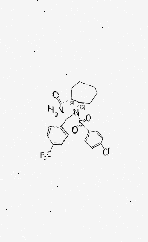 NC(=O)[C@@H]1CCCCC[C@@H]1N(Cc1ccc(C(F)(F)F)cc1)S(=O)(=O)c1ccc(Cl)cc1